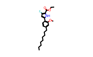 CCCCCCCCCc1ccc(-c2cc(F)c(C(=O)OCC)[nH]2)c(OC)c1